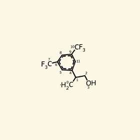 [CH2]C(CO)c1cc(C(F)(F)F)cc(C(F)(F)F)c1